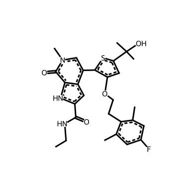 CCNC(=O)c1cc2c(-c3sc(C(C)(C)O)cc3OCCc3c(C)cc(F)cc3C)cn(C)c(=O)c2[nH]1